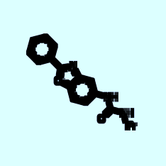 CC(C)NC(=O)Nc1ccc2oc(-c3ccccc3)nc2c1